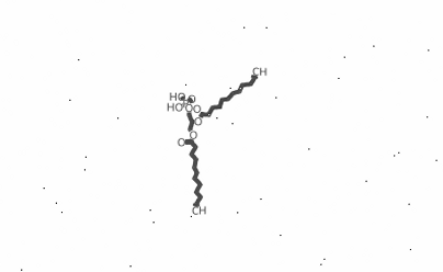 C#CCCCCCCCCCC(=O)OCC(COP(=O)(O)O)OC(=O)CCCCCCCCCC#C